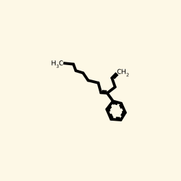 C=CCC(=CCCCCCC)c1ccccc1